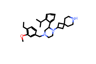 CCc1ccc(CN2CCN(C3CC4(CCNCC4)C3)C(c3ccccc3C(C)C)C2)cc1OC